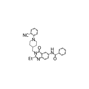 CCc1nc2ccc(NC(=O)c3ccccc3)cc2c(=O)n1CC1CCN(c2ccccc2C#N)CC1